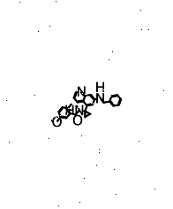 COc1ccc(C)c(C(=O)NC2(c3cc(NCc4ccccc4)cc4ncccc34)CC2)c1